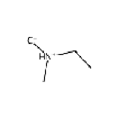 [CH2-][NH+](C)CC